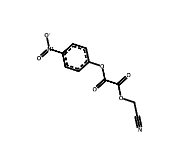 N#CCOC(=O)C(=O)Oc1ccc([N+](=O)[O-])cc1